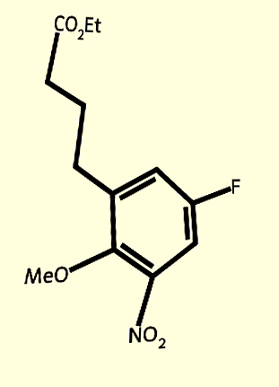 CCOC(=O)CCCc1cc(F)cc([N+](=O)[O-])c1OC